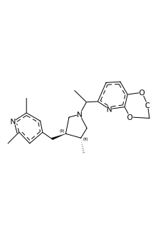 Cc1cc(C[C@H]2CN(C(C)c3ccc4c(n3)OCCO4)C[C@@H]2C)cc(C)n1